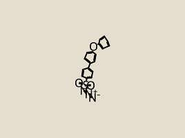 [N-]=[N+]=NS(=O)(=O)c1ccc(-c2ccc(Oc3ccccc3)cc2)cc1